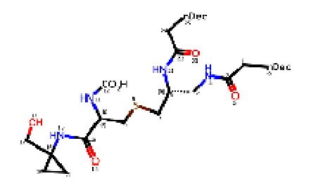 CCCCCCCCCCCC(=O)NC[C@H](CSC[C@H](NC(=O)O)C(=O)NC1(CO)CC1)NC(=O)CCCCCCCCCCC